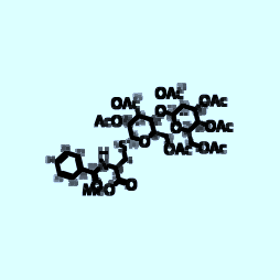 COC(=O)[C@H](CS[C@H]1O[C@H](COC(C)=O)[C@@H](O[C@@H]2O[C@H](COC(C)=O)[C@H](OC(C)=O)[C@H](OC(C)=O)[C@H]2OC(C)=O)[C@H](OC(C)=O)[C@H]1OC(C)=O)NC(=O)c1ccccc1